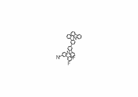 N#Cc1ccc(-n2c3ccccc3c3cc(-c4ccc(-n5c6ccccc6c6ccccc65)c(-c5ccccc5)c4)ccc32)c(-c2cc(F)cc(F)c2)c1